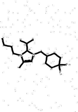 CCCCN1C(C)=CN(CC2CCC(F)(F)CC2)C1C(C)C